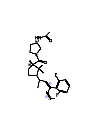 C/N=N\C(=C/C(C)C1CC[C@](C)(C(=O)N2CC[C@H](NC(C)=O)C2)C1(C)C)c1c(F)cccc1F